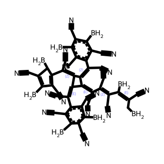 BC\C(C#N)=C(B)/C(C#N)=C(C#C)/C(C#N)=C1\C(=C(/C#N)c2c(C#N)c(B)c(C#N)c(B)c2C#N)C(=C(/C#N)C2=C(C#N)C(B)=C(C#N)C2B)\C1=C(/C#N)c1c(C#N)c(B)c(C#N)c(B)c1C#N